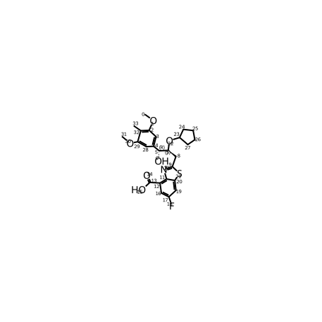 COc1cc([C@@H](O)[C@H](Cc2nc3c(C(=O)O)cc(F)cc3s2)OC2CCCC2)cc(OC)c1C